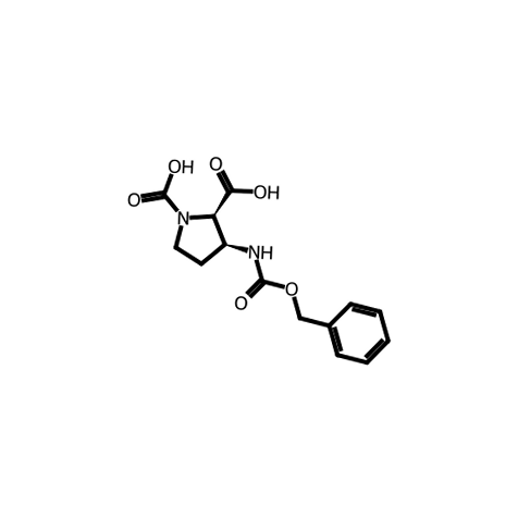 O=C(N[C@H]1CCN(C(=O)O)[C@H]1C(=O)O)OCc1ccccc1